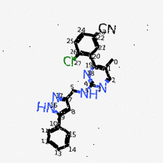 Cc1cnc(NCc2cc(-c3ccccc3)[nH]n2)nc1-c1cc(C#N)ccc1Cl